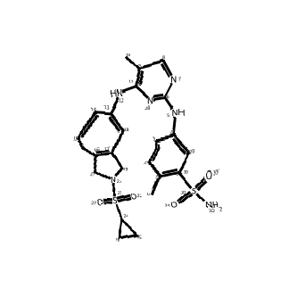 Cc1ccc(Nc2ncc(C)c(Nc3ccc4c(c3)CN(S(=O)(=O)C3CC3)C4)n2)cc1S(N)(=O)=O